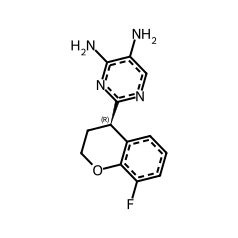 Nc1cnc([C@@H]2CCOc3c(F)cccc32)nc1N